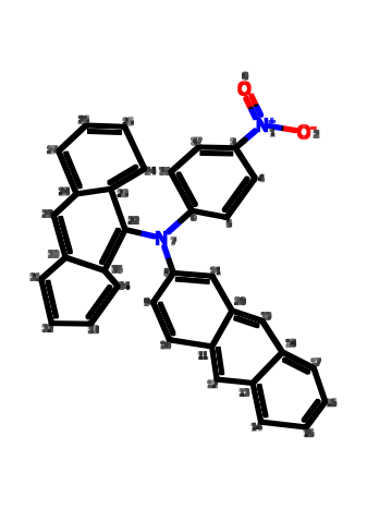 O=[N+]([O-])c1ccc(N(c2ccc3cc4ccccc4cc3c2)c2c3ccccc3cc3ccccc23)cc1